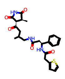 CC(CNC(=O)C[C@H](NC(=O)Cc1cccs1)c1ccccc1)CC(=O)[C@@H]1C(=O)NC(=O)[C@H]1C